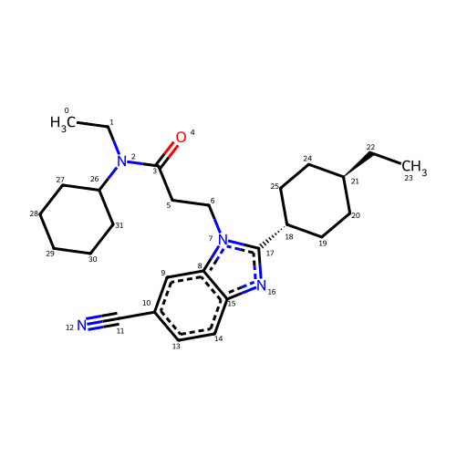 CCN(C(=O)CCn1c2cc(C#N)ccc2nc1[C@H]1CC[C@H](CC)CC1)C1CCCCC1